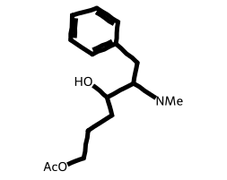 CNC(Cc1ccccc1)C(O)CCCOC(C)=O